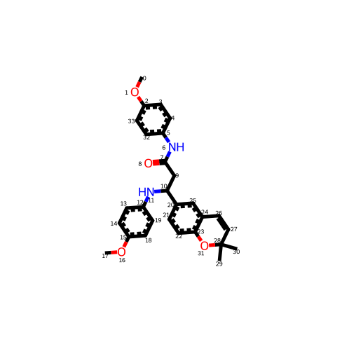 COc1ccc(NC(=O)CC(Nc2ccc(OC)cc2)c2ccc3c(c2)C=CC(C)(C)O3)cc1